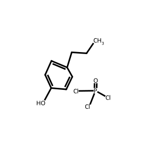 CCCc1ccc(O)cc1.O=P(Cl)(Cl)Cl